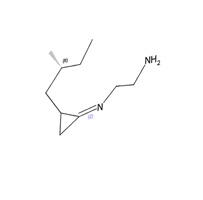 CC[C@@H](C)CC1C/C1=N/CCN